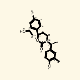 C[C@@H](c1ccc(Cl)c(F)c1)N1CC[C@](CCO)(c2ccc(F)cc2)OC1=O